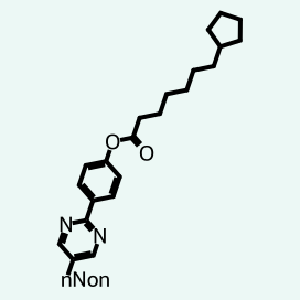 CCCCCCCCCc1cnc(-c2ccc(OC(=O)CCCCCCC3CCCC3)cc2)nc1